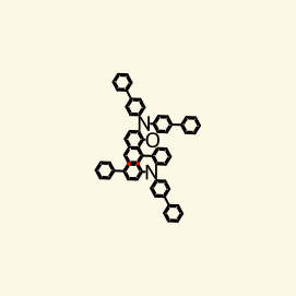 c1ccc(-c2ccc(N(c3ccc(-c4ccccc4)cc3)c3cccc4c3-c3cccc5ccc(N(c6ccc(-c7ccccc7)cc6)c6ccc(-c7ccccc7)cc6)c(c35)O4)cc2)cc1